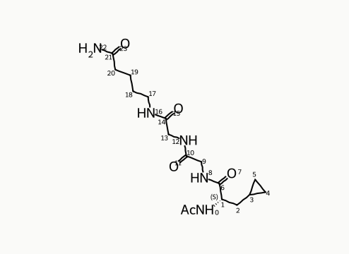 CC(=O)N[C@@H](CC1CC1)C(=O)NCC(=O)NCC(=O)NCCCCC(N)=O